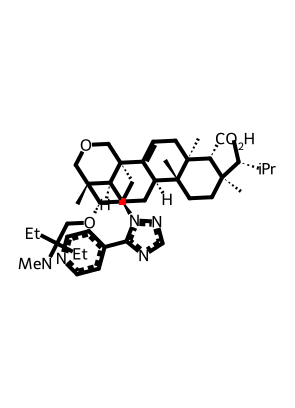 CCC(CC)(CO[C@H]1[C@H](n2ncnc2-c2ccncc2)C[C@@]23COC[C@]1(C)[C@@H]2CC[C@H]1C3=CC[C@@]2(C)[C@H](C(=O)O)[C@@](C)([C@H](C)C(C)C)CC[C@]12C)NC